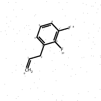 C=CCc1cccc(F)c1F